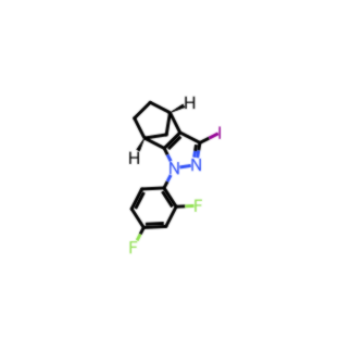 Fc1ccc(-n2nc(I)c3c2[C@@H]2CC[C@H]3C2)c(F)c1